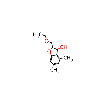 CCOCC1Oc2cc(C)cc(C)c2C1O